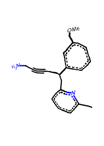 COc1cccc(C(C#CN)c2cccc(C)n2)c1